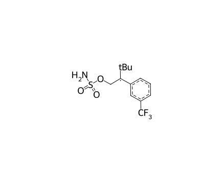 CC(C)(C)[C](COS(N)(=O)=O)c1cccc(C(F)(F)F)c1